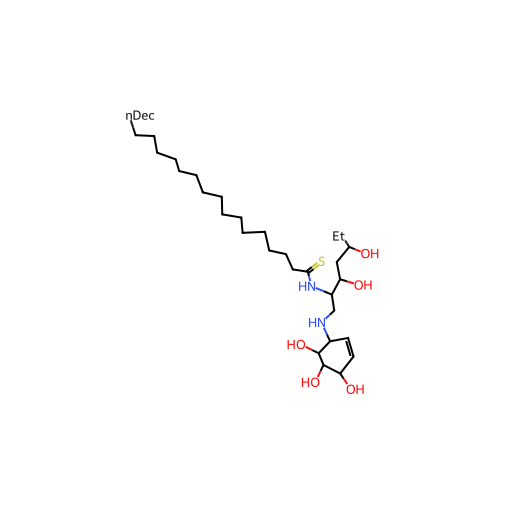 CCCCCCCCCCCCCCCCCCCCCCCCCC(=S)NC(CNC1C=CC(O)C(O)C1O)C(O)CC(O)CC